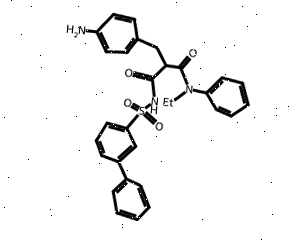 CCN(C(=O)C(Cc1ccc(N)cc1)C(=O)NS(=O)(=O)c1cccc(-c2ccccc2)c1)c1ccccc1